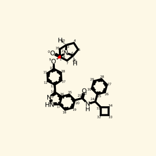 O=CN1[C@@H]2CC[C@H]1C[C@H](Oc1ccc(-c3n[nH]c4ccc(C(=O)NC(c5ccccc5)C5CCC5)cc34)cc1)C2